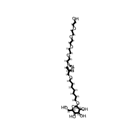 OCCOCCOCCOCCOCCn1cc(COCCCCCCCO[C@@H]2OC(CO)[C@@H](O)C(O)C2O)nn1